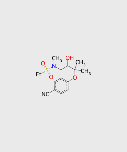 CCS(=O)(=O)N(C)C1c2cc(C#N)ccc2OC(C)(C)C1O